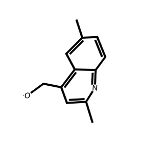 Cc1ccc2nc(C)cc(C[O])c2c1